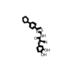 N#C/C(=C\c1ccc(O)c(O)c1)C(=O)Nc1nc(-c2ccc(C3CCCCC3)cc2)cs1